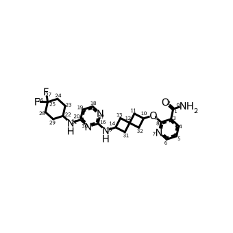 NC(=O)c1cccnc1OC1CC2(CC(Nc3nccc(NC4CCC(F)(F)CC4)n3)C2)C1